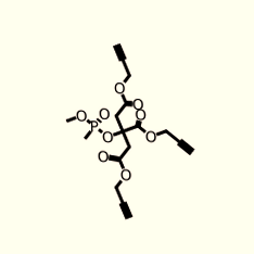 C#CCOC(=O)CC(CC(=O)OCC#C)(OP(C)(=O)OC)C(=O)OCC#C